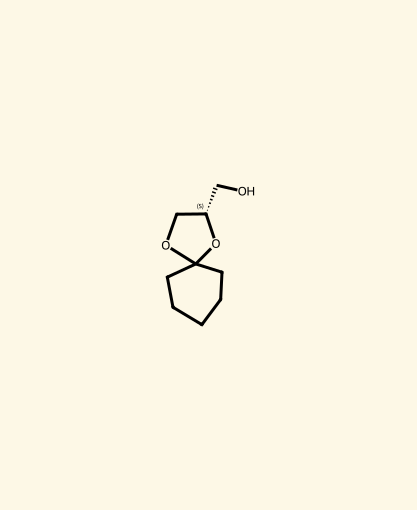 OC[C@H]1COC2(CCCCC2)O1